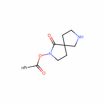 CCCC(=O)ON1CCC2(CCNC2)C1=O